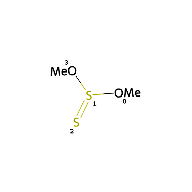 COS(=S)OC